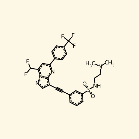 CN(C)CCNS(=O)(=O)c1cccc(C#Cc2cnn3c(C(F)F)cc(-c4ccc(C(F)(F)F)cc4)nc23)c1